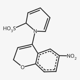 O=[N+]([O-])c1ccc2c(c1)C(N1C=CC=CC1S(=O)(=O)O)=CCO2